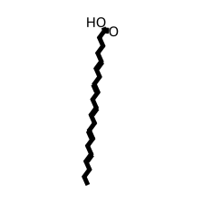 CCC/C=C/C/C=C/C/C=C/C/C=C/C/C=C/CCCC(=O)O